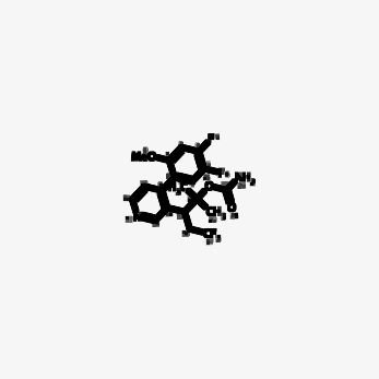 COc1cc(F)c(F)cc1-c1ccncc1C(CC(F)(F)F)C(C)(C)OC(N)=O